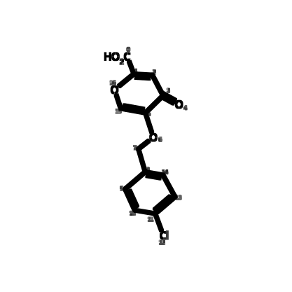 O=C(O)c1cc(=O)c(OCc2ccc(Cl)cc2)co1